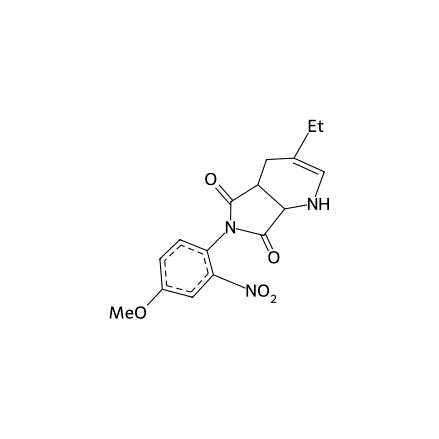 CCC1=CNC2C(=O)N(c3ccc(OC)cc3[N+](=O)[O-])C(=O)C2C1